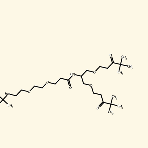 CC(C)(C)NCCOCCOCCC(=O)NC(COCCC(=O)C(C)(C)C)COCCC(=O)C(C)(C)C